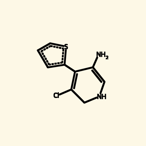 NC1=CNCC(Cl)=C1c1cccs1